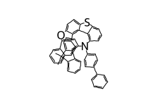 CC1(C)c2ccccc2-c2c(N(c3ccc(-c4ccccc4)cc3)c3cccc4sc5ccc6oc7c8ccccc8ccc7c6c5c34)cccc21